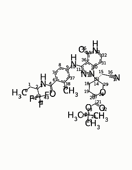 CCC(NC(=O)c1ccc(Nc2nn([C@]3(CC#N)CC[C@@H](C(=O)OC(C)(C)C)OC3)c3cc[nH]c(=O)c23)cc1C)C(F)(F)F